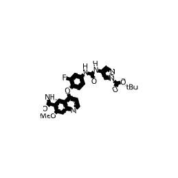 COc1cc2nccc(Oc3ccc(NC(=O)Nc4cnn(C(=O)OC(C)(C)C)c4)cc3F)c2cc1C(N)=O